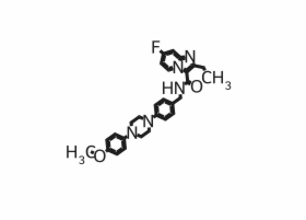 CCc1nc2cc(F)ccn2c1C(=O)NCc1ccc(N2CCN(c3ccc(OC)cc3)CC2)cc1